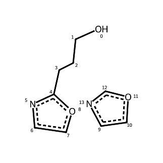 OCCCc1ncco1.c1cocn1